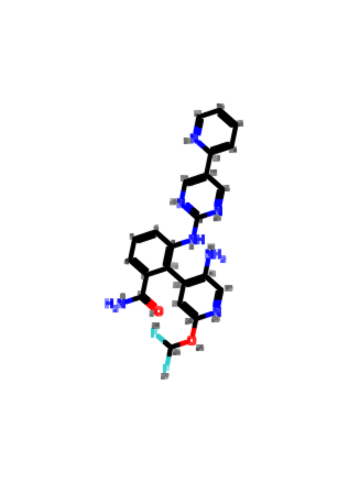 NC(=O)c1cccc(Nc2ncc(-c3ccccn3)cn2)c1-c1cc(OC(F)F)ncc1N